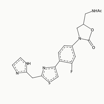 CC(=O)NCC1CN(c2ccc(-c3csc(Cc4ncc[nH]4)n3)c(F)c2)C(=O)O1